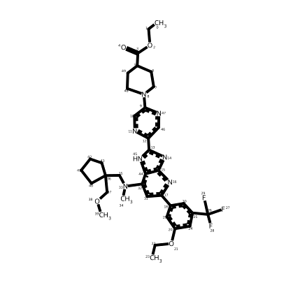 CCOC(=O)C1CCN(c2cnc(-c3nc4nc(-c5cc(OCC)cc(C(F)(F)F)c5)cc(N(C)CC5(COC)CCCC5)c4[nH]3)cn2)CC1